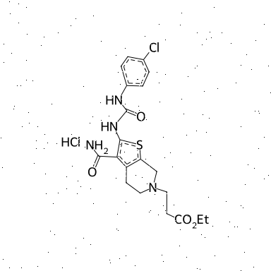 CCOC(=O)CCN1CCc2c(sc(NC(=O)Nc3ccc(Cl)cc3)c2C(N)=O)C1.Cl